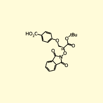 CC(C)(C)OC(=O)[C@H](COc1ccc(C(=O)O)cc1)ON1C(=O)c2ccccc2C1=O